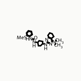 CSc1ccccc1NC(=O)NC1CCC(Nc2nc3c(c(N(C)C)n2)CCCC3)CC1